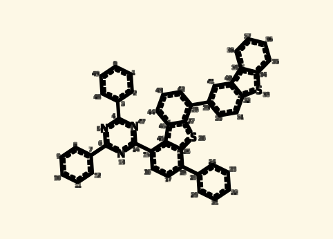 c1ccc(-c2nc(-c3ccccc3)nc(-c3ccc(-c4ccccc4)c4sc5c(-c6ccc7sc8ccccc8c7c6)cccc5c34)n2)cc1